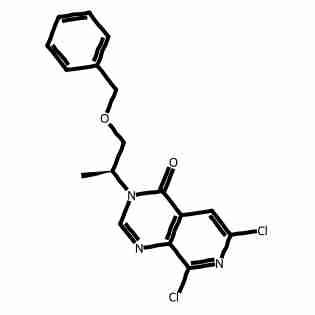 C[C@@H](COCc1ccccc1)n1cnc2c(Cl)nc(Cl)cc2c1=O